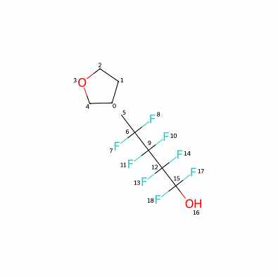 C1CCOC1.CC(F)(F)C(F)(F)C(F)(F)C(O)(F)F